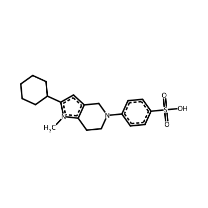 Cn1c(C2CCCCC2)cc2c1CCN(c1ccc(S(=O)(=O)O)cc1)C2